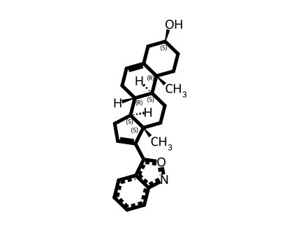 C[C@]12CC[C@H](O)CC1=CC[C@@H]1[C@@H]2CC[C@]2(C)C(c3onc4ccccc34)=CC[C@@H]12